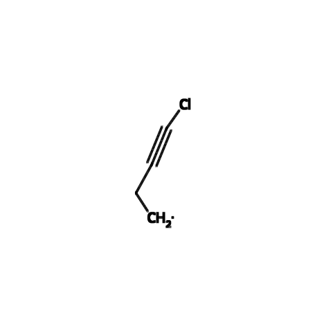 [CH2]CC#CCl